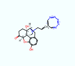 C1=C\N=N/N=N\N=C/1.C=CCN1CC[C@]23c4c5ccc(O)c4O[C@H]2C(=O)CC[C@@]3(O)[C@H]1C5